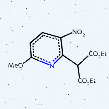 CCOC(=O)C(C(=O)OCC)c1nc(OC)ccc1[N+](=O)[O-]